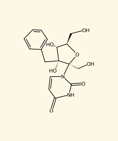 O=c1ccn([C@]2(CO)O[C@H](CO)[C@@H](O)[C@]2(O)Cc2ccccc2)c(=O)[nH]1